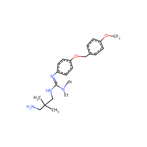 CCN(/C(=N\c1ccc(OCc2ccc(OC(F)(F)F)cc2)cc1)NCC(C)(C)CN)C(C)C